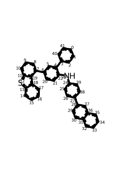 c1ccc(-c2cc(-c3cccc4sc5ccccc5c34)ccc2Nc2ccc(-c3ccc4ccccc4c3)cc2)cc1